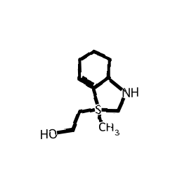 CS1(CCO)CNC2CCCC=C21